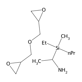 C(OCC1CO1)C1CO1.CCC[Si](C)(CC)C(C)N